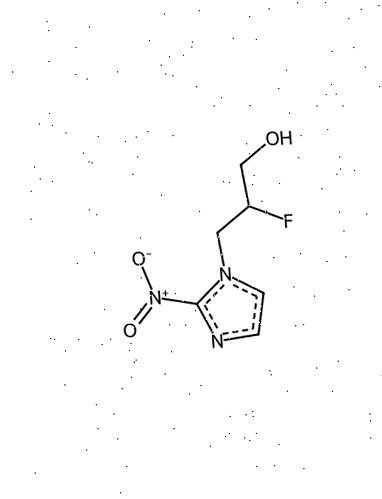 O=[N+]([O-])c1nccn1CC(F)CO